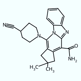 CC1(C)Cc2c(c(N3CCC(C#N)CC3)n3c(nc4ccccc43)c2C(N)=O)C1